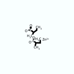 CCC(C)S(=O)[O-].CCC(C)S(=O)[O-].[Zn+2]